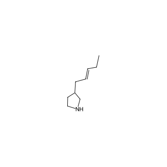 CCC=CCC1CCNC1